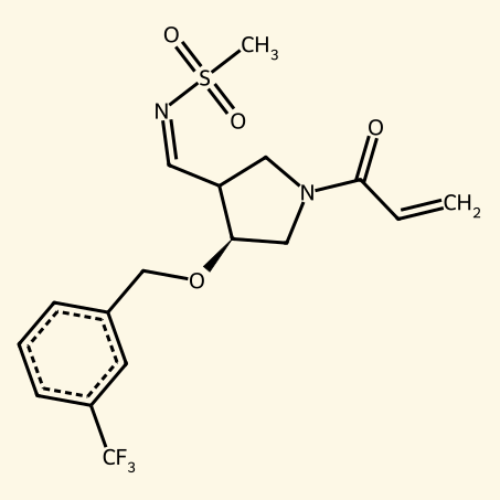 C=CC(=O)N1CC(/C=N\S(C)(=O)=O)[C@H](OCc2cccc(C(F)(F)F)c2)C1